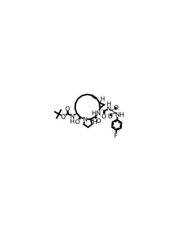 CC(C)(C)OC(=O)N[C@H]1CCCCC/C=C\[C@@H]2C[C@@]2(C(=O)NS(=O)(=O)Nc2ccc(F)cc2)NC(=O)[C@@H]2CCCN2C1=O